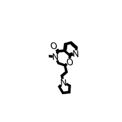 CN1CC(CCN2CCCC2)Oc2ncccc2C1=O